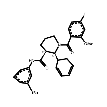 COc1cc(F)ccc1C(=O)N1CCC[C@H](C(=O)Nc2cccc(C(C)(C)C)c2)[C@@H]1C1C=CC=CC1